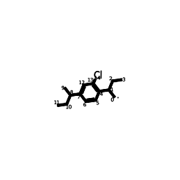 [CH2]C(CC)c1ccc(C(C)CC)cc1Cl